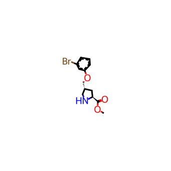 COC(=O)[C@@H]1C[C@@H](COc2cccc(Br)c2)CN1